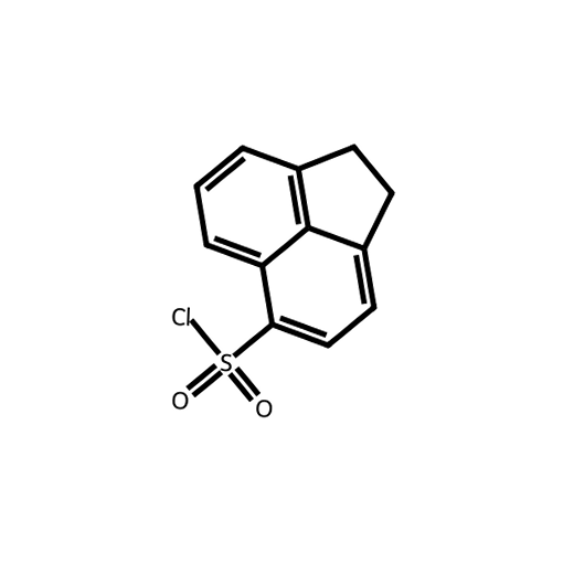 O=S(=O)(Cl)c1ccc2c3c(cccc13)CC2